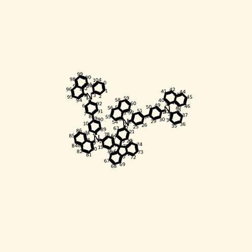 c1ccc(N(c2ccc(-c3ccc(N(c4ccc(C5(c6ccc(N(c7ccc(-c8ccc(N(c9ccccc9)c9cccc%10ccccc9%10)cc8)cc7)c7cccc8ccccc78)cc6)c6ccccc6-c6ccccc65)cc4)c4cccc5ccccc45)cc3)cc2)c2cccc3ccccc23)cc1